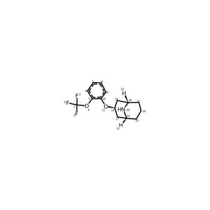 FC(F)(F)Oc1ccccc1O[C@@H]1C[C@H]2CCC[C@@H](C1)N2